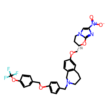 O=[N+]([O-])c1cn2c(n1)O[C@H](COc1ccc3c(c1)CCCN(Cc1ccc(OCc4ccc(OC(F)(F)F)cc4)cc1)C3)CC2